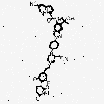 CC(C)(O)c1cc2nn(C3CCC(N4CCN(CCc5cc(F)c([C@H]6CCC(=O)NC6=O)c(F)c5)C[C@@H]4CC#N)CC3)cc2cc1NC(=O)c1ccc2cc(C#N)cnn12